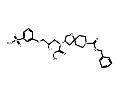 CC(C)(C)OC(=O)N(C[C@@H](O)COc1cccc(S(C)(=O)=O)c1)[C@@H]1COC2(CCN(C(=O)OCc3ccccc3)CC2)C1